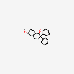 COc1ccc2c(c1)CCC(c1ccccc1)(c1ccccc1)C2=O